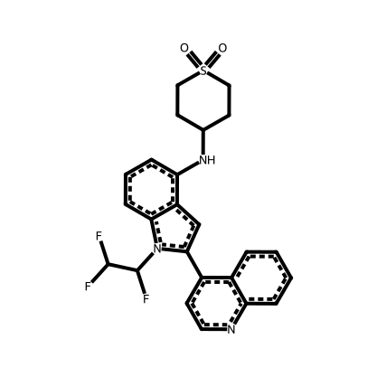 O=S1(=O)CCC(Nc2cccc3c2cc(-c2ccnc4ccccc24)n3C(F)C(F)F)CC1